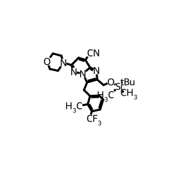 Cc1c(Cc2c(CO[Si](C)(C)C(C)(C)C)nc3c(C#N)cc(N4CCOCC4)nn23)cccc1C(F)(F)F